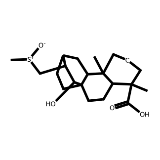 C[S+]([O-])CC1C2CCC3(CCC4C(C)(C(=O)O)CCCC4(C)C3C2)C1O